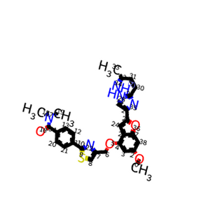 COc1cc(OCc2csc(-c3ccc(C(=O)N(C)C)cc3)n2)c2cc(-c3c[nH]c(/C=C\C(C)=N)n3)oc2c1